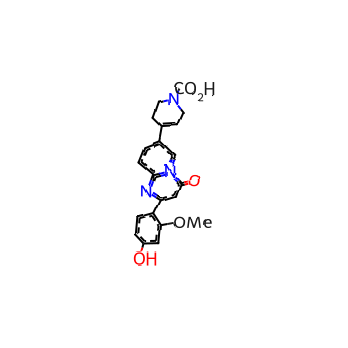 COc1cc(O)ccc1-c1cc(=O)n2cc(C3=CCN(C(=O)O)CC3)ccc2n1